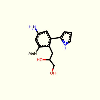 CNc1cc(N)cc(-c2ccc[nH]2)c1CC(O)CO